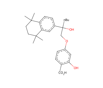 CCCCC(O)(COc1ccc(C(=O)O)c(O)c1)c1ccc2c(c1)C(C)(C)CCC2(C)C